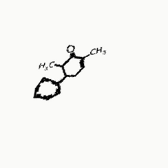 CC1=CCC(c2ccccc2)C(C)C1=O